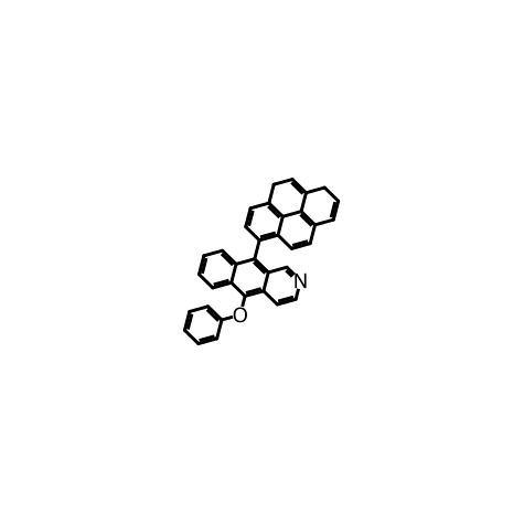 C1=Cc2ccc3c(-c4c5ccccc5c(Oc5ccccc5)c5ccncc45)ccc4c3c2C(=CC4)C1